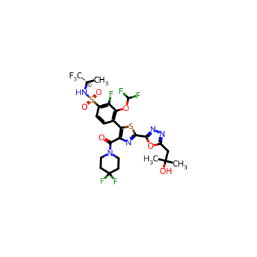 C[C@H](NS(=O)(=O)c1ccc(-c2sc(-c3nnc(CC(C)(C)O)o3)nc2C(=O)N2CCC(F)(F)CC2)c(OC(F)F)c1F)C(F)(F)F